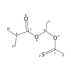 CC(=S)OC(C)OC(=O)C(C)C